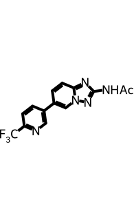 CC(=O)Nc1nc2ccc(-c3ccc(C(F)(F)F)nc3)cn2n1